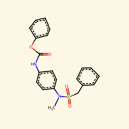 CN(c1ccc(NC(=O)Oc2ccccc2)cc1)S(=O)(=O)Cc1ccccc1